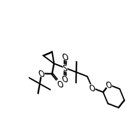 CC(C)(C)OC(=O)C1(S(=O)(=O)C(C)(C)COC2CCCCO2)CC1